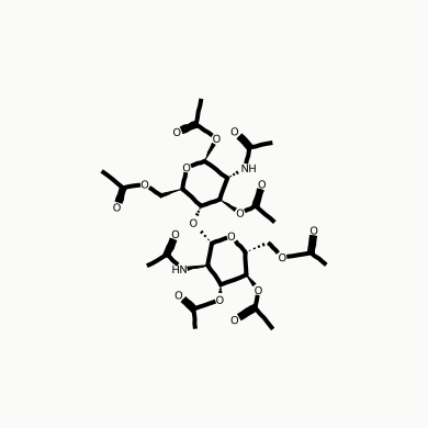 CC(=O)N[C@H]1[C@H](O[C@H]2[C@H](OC(C)=O)[C@@H](NC(C)=O)[C@H](OC(C)=O)O[C@@H]2COC(C)=O)O[C@H](COC(C)=O)[C@@H](OC(C)=O)[C@@H]1OC(C)=O